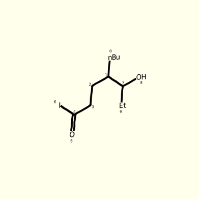 CCCCC(CCC(=O)I)C(O)CC